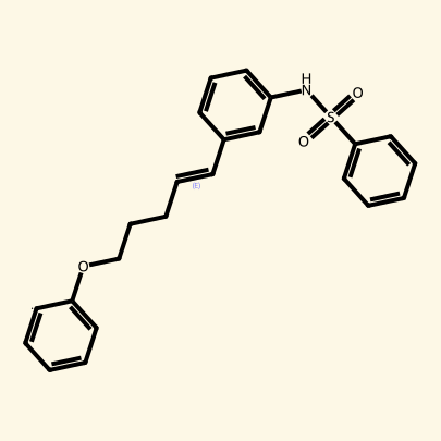 O=S(=O)(Nc1cccc(/C=C/CCCOc2[c]cccc2)c1)c1ccccc1